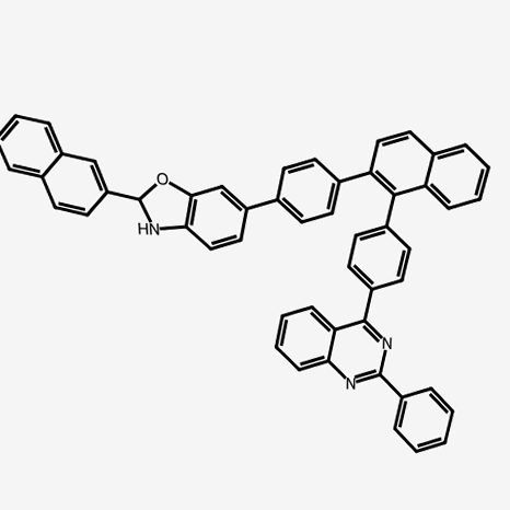 c1ccc(-c2nc(-c3ccc(-c4c(-c5ccc(-c6ccc7c(c6)OC(c6ccc8ccccc8c6)N7)cc5)ccc5ccccc45)cc3)c3ccccc3n2)cc1